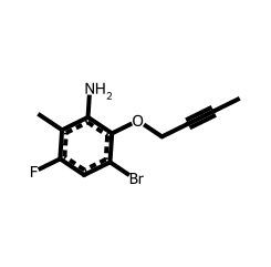 CC#CCOc1c(Br)cc(F)c(C)c1N